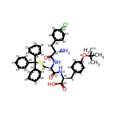 CC(C)(C)Oc1ccc(C[C@H](NC(=O)[C@@H](CSC(c2ccccc2)(c2ccccc2)c2ccccc2)NC(=O)[C@@H](N)Cc2ccc(Cl)cc2)C(=O)O)cc1